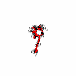 N=C(N)NCCC[C@H]1NC(=O)[C@@H](Cc2ccc(O)cc2)NC(=O)[C@@H](Cc2c[nH]c3ccccc23)NC(=O)[C@@H](NC(=O)COCCOCCOCCNC(=O)CCCCC2SC[C@H]3NC(=O)N[C@@H]23)Cc2cn(nn2)CCCC[C@@H](C(N)=O)NC(=O)[C@@H](Cc2ccc(O)cc2)NC1=O